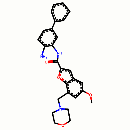 COc1cc(CN2CCOCC2)c2oc(C(=O)Nc3cc(-c4ccccc4)ccc3N)cc2c1